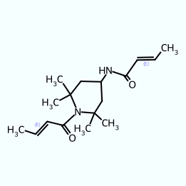 C/C=C/C(=O)NC1CC(C)(C)N(C(=O)/C=C/C)C(C)(C)C1